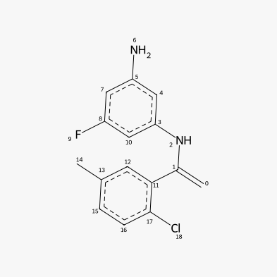 C=C(Nc1cc(N)cc(F)c1)c1cc(C)ccc1Cl